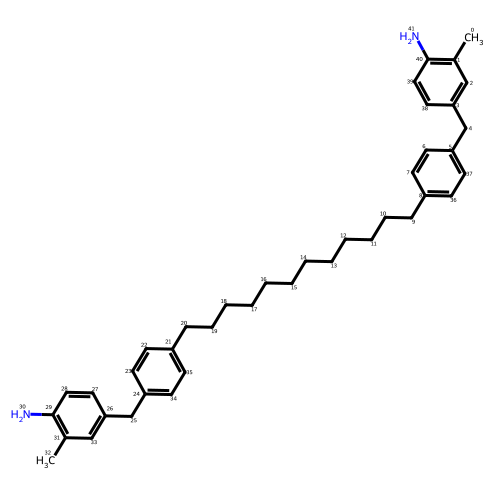 Cc1cc(Cc2ccc(CCCCCCCCCCCCc3ccc(Cc4ccc(N)c(C)c4)cc3)cc2)ccc1N